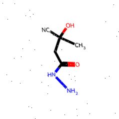 CC(O)(C#N)CC(=O)NN